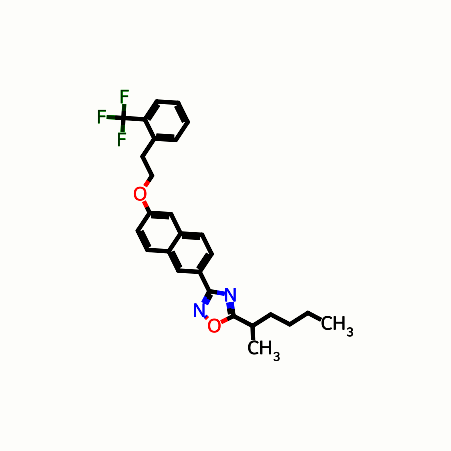 CCCCC(C)c1nc(-c2ccc3cc(OCCc4ccccc4C(F)(F)F)ccc3c2)no1